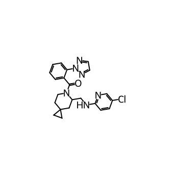 O=C(c1ccccc1-n1nccn1)N1CCC2(CC2)CC1CNc1ccc(Cl)cn1